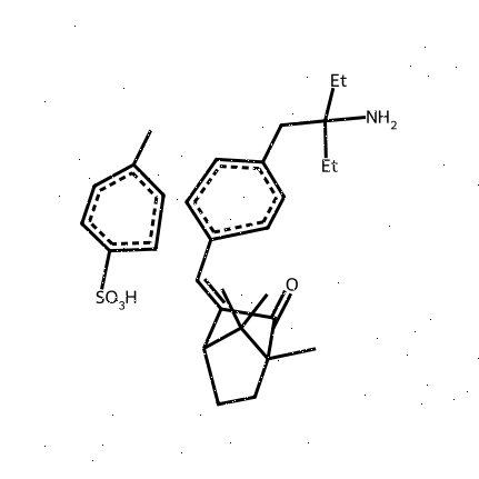 CCC(N)(CC)Cc1ccc(C=C2C(=O)C3(C)CCC2C3(C)C)cc1.Cc1ccc(S(=O)(=O)O)cc1